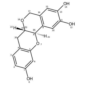 Oc1ccc2c(c1)O[C@@H]1c3cc(O)c(O)cc3CO[C@H]1C2